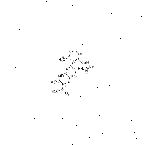 CCCCC(=O)N(Cc1ccc(C2=C(c3nnn[nH]3)C=CCC2C)cc1)C(C(C)=O)C(C)C